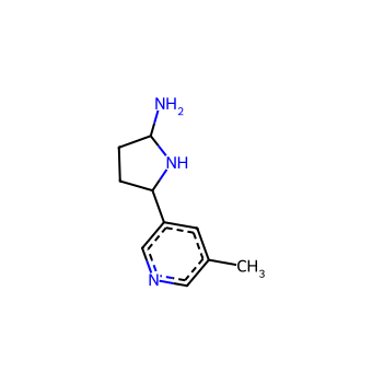 Cc1cncc(C2CCC(N)N2)c1